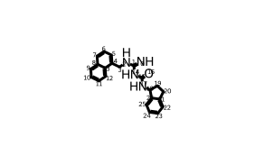 N=C(NCc1cccc2ccccc12)NC(=O)NC1CCc2ccccc21